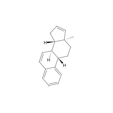 C[C@@]12C=CC[C@H]1[C@@H]1C=Cc3c[c]ccc3[C@H]1CC2